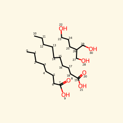 CCCCCCCC(=O)O.CCCCCCCCCC(=O)O.OCCCC(CO)CO